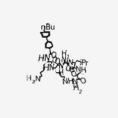 CCCCc1ccc(-c2ccc(C(=O)N[C@@H](CCCCN)C(=O)N[C@@H](CCCCN)C(=O)N[C@@H](N)C(=O)N[C@@H](CC(C)C)C(=O)N[C@H](C)C(=O)C(N)=O)cc2)cc1